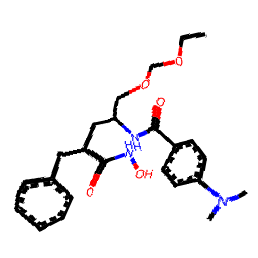 CCOCOCC(CC(Cc1ccccc1)C(=O)NO)NC(=O)c1ccc(N(C)C)cc1